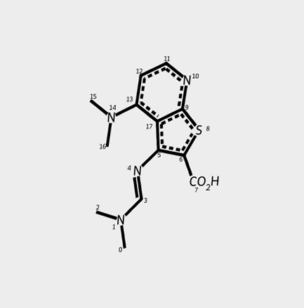 CN(C)C=Nc1c(C(=O)O)sc2nccc(N(C)C)c12